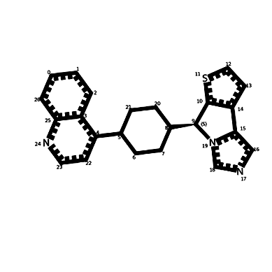 c1ccc2c(C3CCC([C@H]4c5sccc5-c5cncn54)CC3)ccnc2c1